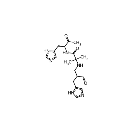 CC(=O)[C@H](Cc1cnc[nH]1)NC(=O)C(C)(C)NCC(C=O)Cc1cnc[nH]1